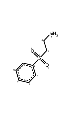 O=S(=O)(CC[SiH3])c1ccccc1